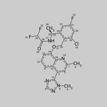 Cc1cc(-c2ncnn2C)c2cccc(OCc3c(Cl)cc(F)cc3[C@H](C)NC(=O)C(F)F)c2n1